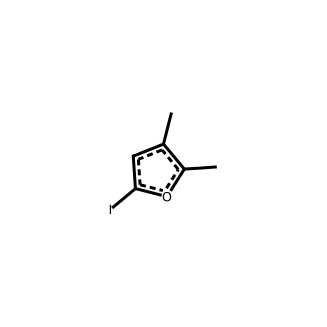 Cc1cc(I)oc1C